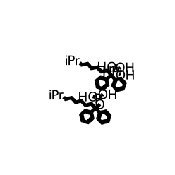 CC(C)CCCCCCC(OP(O)O)(c1ccccc1)c1ccccc1.CC(C)CCCCCCC(c1ccccc1)(c1ccccc1)[PH](O)(O)O